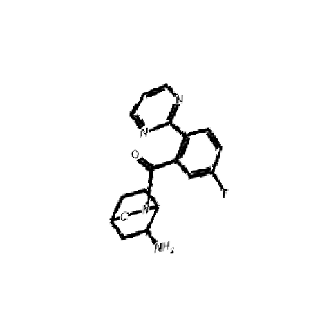 NC1CC2CCC1N(C(=O)c1cc(F)ccc1-c1ncccn1)C2